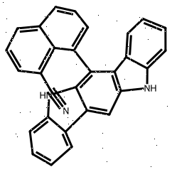 N#Cc1cccc2cccc(-c3c4[nH]c5ccccc5c4cc4[nH]c5ccccc5c34)c12